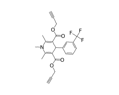 C#CCOC(=O)C1=C(C)N(C)C(C)=C(C(=O)OCC#C)C1c1cccc(C(F)(F)F)c1